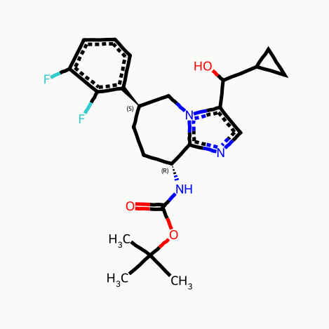 CC(C)(C)OC(=O)N[C@@H]1CC[C@@H](c2cccc(F)c2F)Cn2c(C(O)C3CC3)cnc21